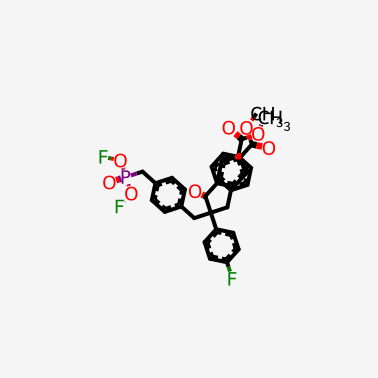 COC(=O)c1ccc(CC(Cc2ccc(CP(=O)(OF)OF)cc2)(C(=O)c2ccc(C(=O)OC)cc2)c2ccc(F)cc2)cc1